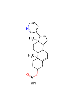 CCCC(=O)OC1CCC2(C)C(=CCC3C2CCC2(C)C(c4cccnc4)=CCC32)C1